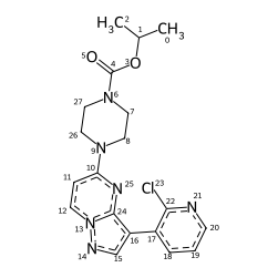 CC(C)OC(=O)N1CCN(c2ccn3ncc(-c4cccnc4Cl)c3n2)CC1